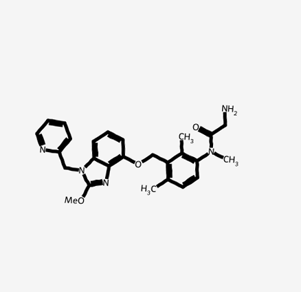 COc1nc2c(OCc3c(C)ccc(N(C)C(=O)CN)c3C)cccc2n1Cc1ccccn1